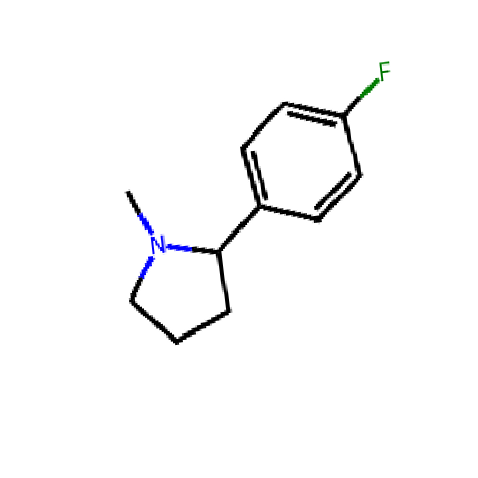 CN1CCCC1c1ccc(F)cc1